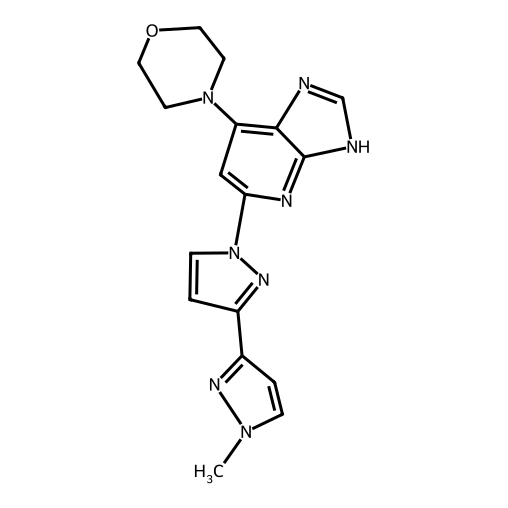 Cn1ccc(-c2ccn(-c3cc(N4CCOCC4)c4nc[nH]c4n3)n2)n1